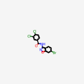 O=C(Nc1noc2cc(Br)ccc12)c1ccc(Cl)c(Cl)c1